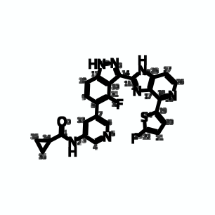 O=C(Nc1cncc(-c2ccc3[nH]nc(-c4nc5c(-c6ccc(F)s6)nccc5[nH]4)c3c2F)c1)C1CC1